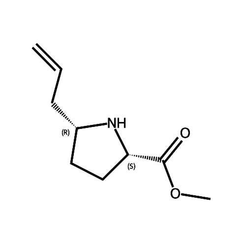 C=CC[C@H]1CC[C@@H](C(=O)OC)N1